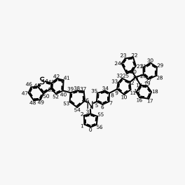 c1ccc(N(c2ccc(-c3ccc(C(c4ccccc4)(c4ccccc4)c4ccccc4)cc3)cc2)c2ccc(-c3ccc4sc5ccccc5c4c3)cc2)cc1